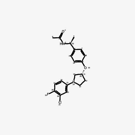 CC(=O)N[C@@H](C)c1ccc(O[C@@H]2CCN(c3ccc(F)c(Cl)c3)C2)cc1